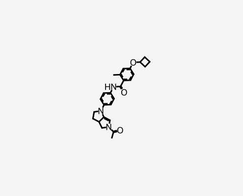 CC(=O)N1C=C2C(CCN2c2ccc(NC(=O)c3ccc(OC4CCC4)cc3C)cc2)C1